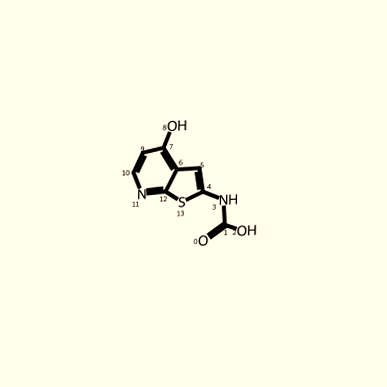 O=C(O)Nc1cc2c(O)ccnc2s1